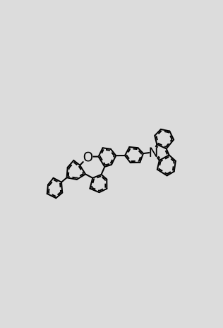 c1ccc(-c2ccc3c(c2)-c2ccccc2-c2cc(-c4ccc(-n5c6ccccc6c6ccccc65)cc4)ccc2O3)cc1